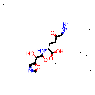 [N-]=[N+]=CC(=O)CC[C@H](NC(=O)[C@H](O)c1cnco1)C(=O)O